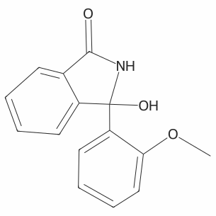 COc1ccccc1C1(O)NC(=O)c2ccccc21